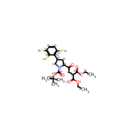 CCOC(=O)C(CC(=O)C1CC(c2c(F)ccc(F)c2F)CN1C(=O)OC(C)(C)C)C(=O)OCC